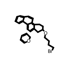 BrCCCCOC1CCc2c(ccc3c2ccc2ccccc23)C1.C1=CCOC=C1